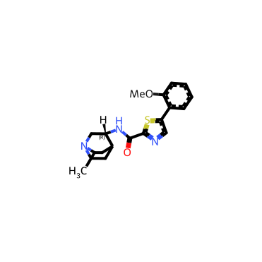 COc1ccccc1-c1cnc(C(=O)N[C@H]2CN3CCC2CC3C)s1